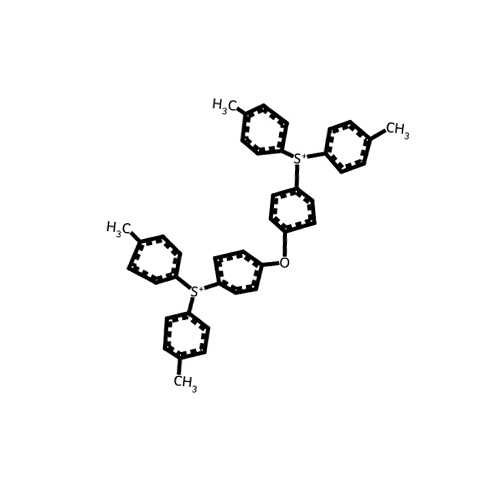 Cc1ccc([S+](c2ccc(C)cc2)c2ccc(Oc3ccc([S+](c4ccc(C)cc4)c4ccc(C)cc4)cc3)cc2)cc1